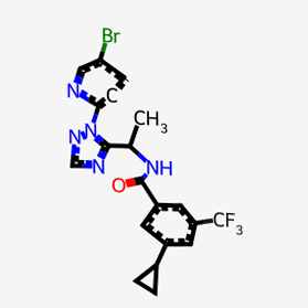 CC(NC(=O)c1cc(C2CC2)cc(C(F)(F)F)c1)c1ncnn1-c1ccc(Br)cn1